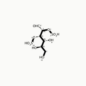 O=C[C@H](OS(=O)(=O)O)[C@@H](OS(=O)(=O)O)[C@H](O)[C@H](O)CO